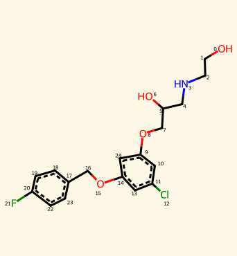 OCCNCC(O)COc1cc(Cl)cc(OCc2ccc(F)cc2)c1